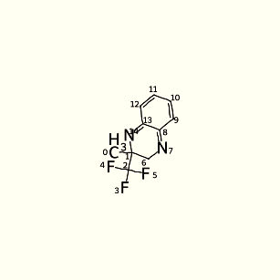 CC1(C(F)(F)F)CN=c2ccccc2=N1